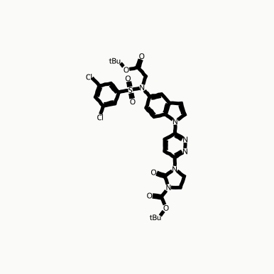 CC(C)(C)OC(=O)CN(c1ccc2c(ccn2-c2ccc(N3CCN(C(=O)OC(C)(C)C)C3=O)nn2)c1)S(=O)(=O)c1cc(Cl)cc(Cl)c1